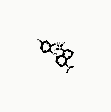 CN(C)c1cccc2c(S(=O)(=O)Nc3cc(Cl)ccc3O)cccc12